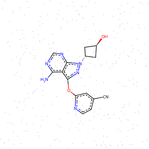 N#Cc1ccnc(Oc2nn([C@H]3C[C@H](O)C3)c3ncnc(N)c23)c1